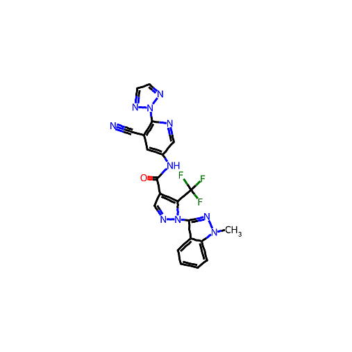 Cn1nc(-n2ncc(C(=O)Nc3cnc(-n4nccn4)c(C#N)c3)c2C(F)(F)F)c2ccccc21